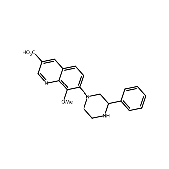 COc1c(N2CCNC(c3ccccc3)C2)ccc2cc(C(=O)O)cnc12